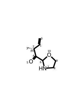 C=C[C@@H](C)C(=O)C1NCCO1